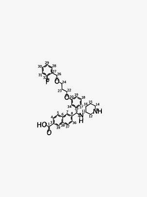 O=C(O)c1ccc2cc(CN[C@H]3CNCC[C@H]3c3ccc(OCCCOCc4ccccc4F)cc3)ccc2c1